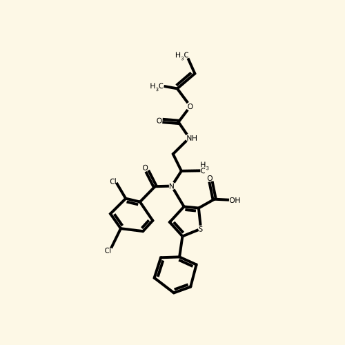 C/C=C(\C)OC(=O)NCC(C)N(C(=O)c1ccc(Cl)cc1Cl)c1cc(-c2ccccc2)sc1C(=O)O